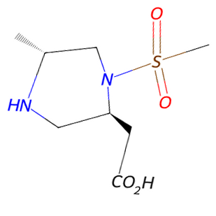 C[C@@H]1CN(S(C)(=O)=O)[C@@H](CC(=O)O)CN1